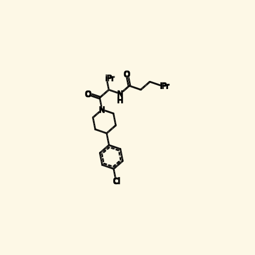 CC(C)CCC(=O)NC(C(=O)N1CCC(c2ccc(Cl)cc2)CC1)C(C)C